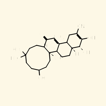 CC1CCC(C)(C)CCC2C(=O)C=C3[C@@]4(C)CC(C#N)=C(O)[C@@H](C)[C@@H]4CC[C@@]3(C)[C@]2(C)CC1